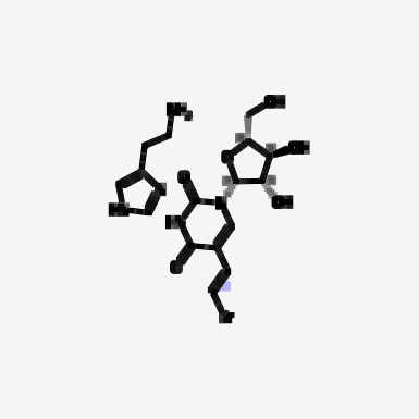 NCCc1c[nH]cn1.O=c1[nH]c(=O)n([C@@H]2O[C@H](CO)[C@@H](O)[C@@H]2O)cc1/C=C/Br